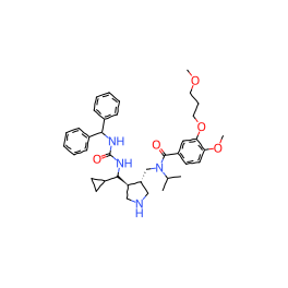 COCCCOc1cc(C(=O)N(C[C@@H]2CNC[C@H]2C(NC(=O)NC(c2ccccc2)c2ccccc2)C2CC2)C(C)C)ccc1OC